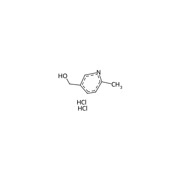 Cc1ccc(CO)cn1.Cl.Cl